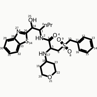 CCCC(NC(=O)C(CS(=O)(=O)Cc1ccccc1)NC1CCOCC1)C(O)c1nc2ccccc2s1